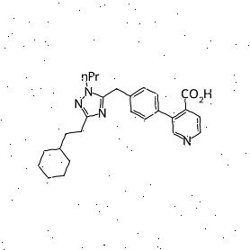 CCCn1nc(CCC2CCCCC2)nc1Cc1ccc(-c2cnccc2C(=O)O)cc1